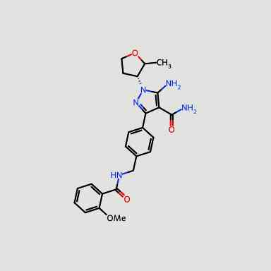 COc1ccccc1C(=O)NCc1ccc(-c2nn([C@@H]3CCOC3C)c(N)c2C(N)=O)cc1